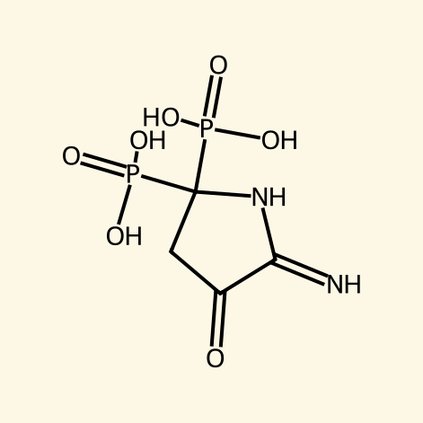 N=C1NC(P(=O)(O)O)(P(=O)(O)O)CC1=O